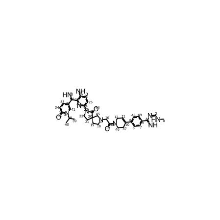 CN/C=N\C(=N)c1ccc(C2=CCN(C(=O)CN3CC[C@]4(CCN(c5ccc(N)c(C(=N)c6ccc(=O)n(C(C)C)c6)n5)C4=O)C3)CC2)cc1